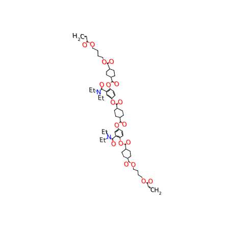 C=CC(=O)OCCCCOC(=O)C1CCC(C(=O)Oc2ccc(OC(=O)C3CCC(C(=O)Oc4ccc(OC(=O)C5CCC(C(=O)OCCCCOC(=O)C=C)CC5)c(C(=O)N(CC)CC)c4)CC3)cc2C(=O)N(CC)CC)CC1